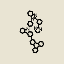 c1cnc(-c2cccc(-c3nc4ccccc4n3-c3ccc(-n4c5ccccc5c5cc(-c6ccc7c8ccccc8c8ccccc8c7c6)ccc54)cc3)c2)nc1